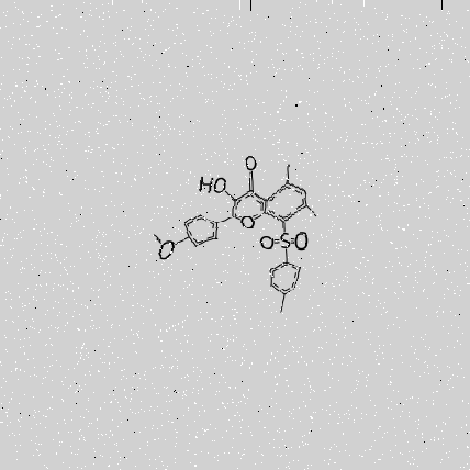 COc1ccc(-c2oc3c(S(=O)(=O)c4ccc(C)cc4)c(C)cc(C)c3c(=O)c2O)cc1